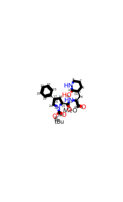 COC(=O)[C@H](C[C@@H]1CCCNC1O)NC(=O)[C@@H]1C[C@@H](c2ccccc2)CN1C(=O)OC(C)(C)C